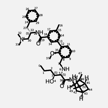 CCC[C@H](O)[C@H](NCc1cccc(-c2cc(C)cc(C(=O)N[C@@H](Cc3ccccc3)CN(C)C)c2)c1OC)C(=O)N[C@H]1C[C@H]2C[C@@H]([C@@H]1C)C2(C)C